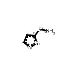 NSc1ccns1